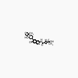 CC(C)(O)C1CC(C(=O)Nc2cc3cc(C4CCN(C5(C)COCC5O)CC4)c(Cl)cc3cn2)C1